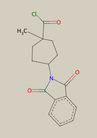 CC1(C(=O)Cl)CCC(N2C(=O)c3ccccc3C2=O)CC1